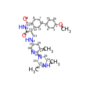 COc1ccc(-c2ccc3c(c2)C(=CNc2cnc(N4C[C@@H](C)N[C@@H](C)C4)c(C)c2)C(=O)NC3=O)cc1